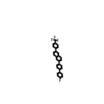 Fc1ccc(-c2ccc(-c3ccc4cc(-c5ccc(C(F)(F)F)cc5)ccc4c3)cc2)cc1